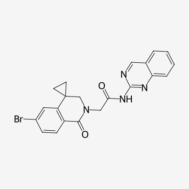 O=C(CN1CC2(CC2)c2cc(Br)ccc2C1=O)Nc1ncc2ccccc2n1